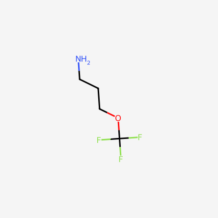 NCCCOC(F)(F)F